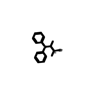 CC(C)[C@@H](C)C(C)N(c1ccccc1)c1ccccc1